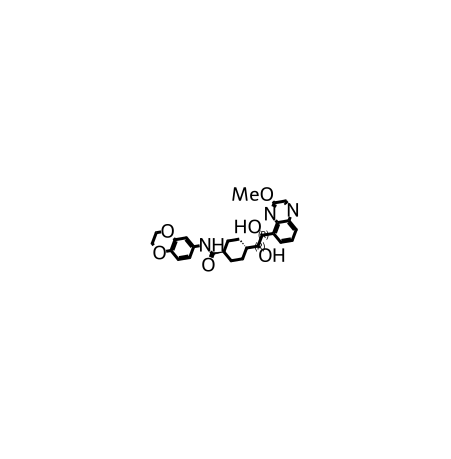 COc1cnc2cccc([C@@H](O)[C@H](O)[C@H]3CC[C@H](C(=O)Nc4ccc5c(c4)OCCO5)CC3)c2n1